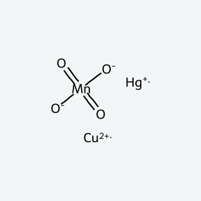 [Cu+2].[Hg+].[O]=[Mn](=[O])([O-])[O-]